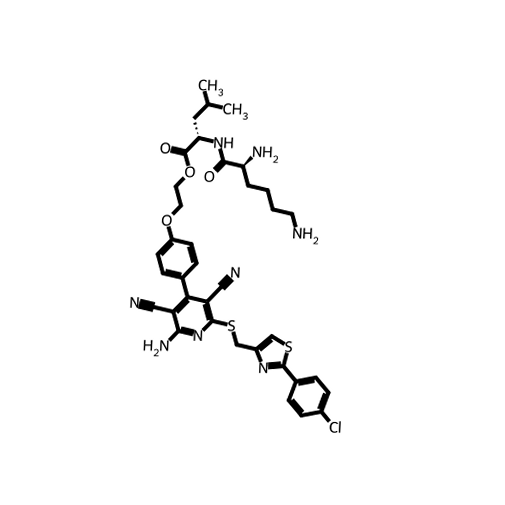 CC(C)C[C@H](NC(=O)[C@@H](N)CCCCN)C(=O)OCCOc1ccc(-c2c(C#N)c(N)nc(SCc3csc(-c4ccc(Cl)cc4)n3)c2C#N)cc1